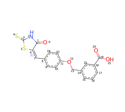 O=C1NC(=S)S/C1=C/c1ccc(OCc2cccc(C(=O)O)c2)cc1